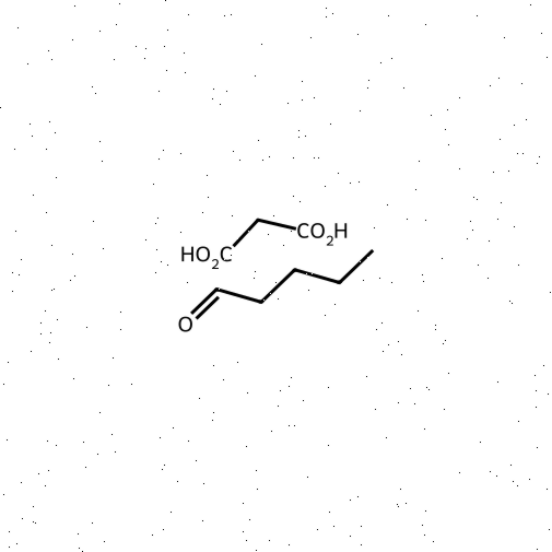 CCCCC=O.O=C(O)CC(=O)O